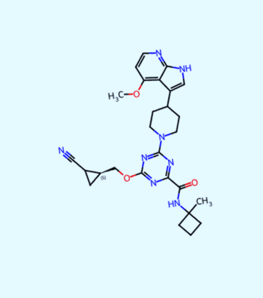 COc1ccnc2[nH]cc(C3CCN(c4nc(OC[C@H]5CC5C#N)nc(C(=O)NC5(C)CCC5)n4)CC3)c12